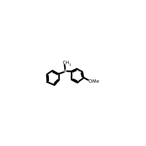 COc1ccc(P(C)c2ccccc2)cc1